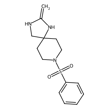 C=C1NCC2(CCN(S(=O)(=O)c3ccccc3)CC2)N1